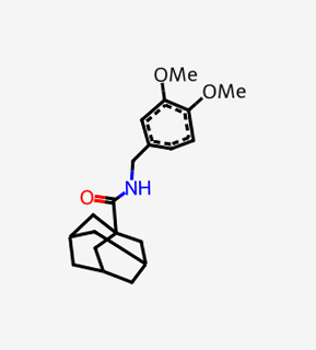 COc1ccc(CNC(=O)C23CC4CC(CC(C4)C2)C3)cc1OC